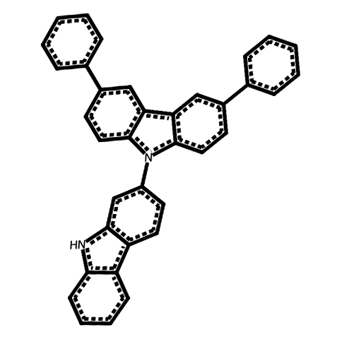 c1ccc(-c2ccc3c(c2)c2cc(-c4ccccc4)ccc2n3-c2ccc3c(c2)[nH]c2ccccc23)cc1